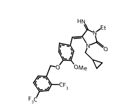 CCN1C(=N)C(=Cc2ccc(OCc3ccc(C(F)(F)F)cc3C(F)(F)F)c(OC)c2)N(CC2CC2)C1=O